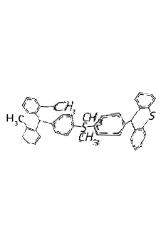 CC1=C(C(c2ccc(S(C)(C)c3ccc(C4c5ccccc5Sc5ccccc54)cc3)cc2)c2ccccc2C)C=CCC1